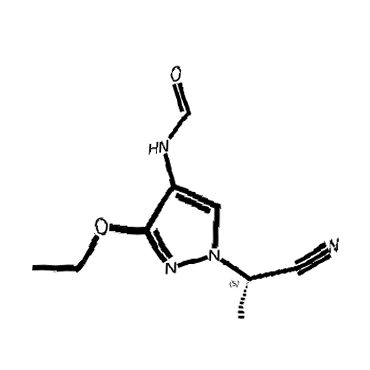 CCOc1nn([C@@H](C)C#N)cc1NC=O